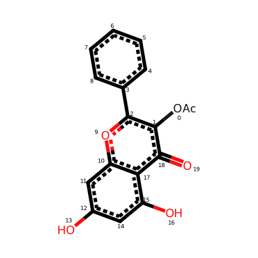 CC(=O)Oc1c(-c2ccccc2)oc2cc(O)cc(O)c2c1=O